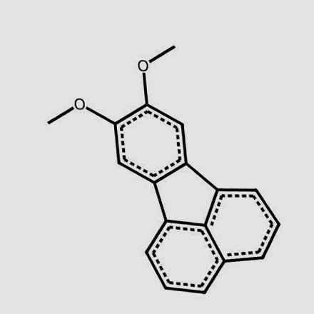 COc1cc2c(cc1OC)-c1cccc3cccc-2c13